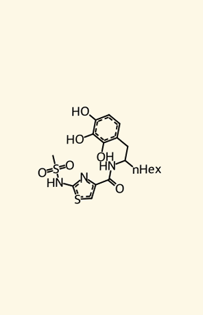 CCCCCCC(Cc1ccc(O)c(O)c1O)NC(=O)c1csc(NS(C)(=O)=O)n1